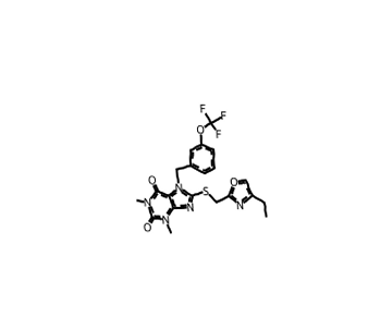 CCc1coc(CSc2nc3c(c(=O)n(C)c(=O)n3C)n2Cc2cccc(OC(F)(F)F)c2)n1